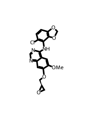 COc1cc2c(Nc3c(Cl)ccc4c3OCO4)ncnc2cc1OC[C@H]1CO1